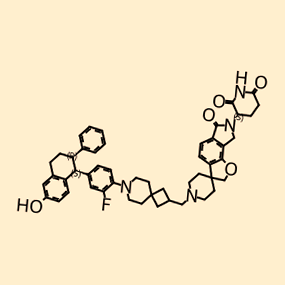 O=C1CC[C@H](N2Cc3c(ccc4c3OCC43CCN(CC4CC5(CCN(c6ccc([C@H]7c8ccc(O)cc8CC[C@H]7c7ccccc7)cc6F)CC5)C4)CC3)C2=O)C(=O)N1